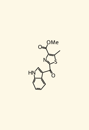 COC(=O)c1nc(C(=O)c2c[nH]c3ccccc23)sc1C